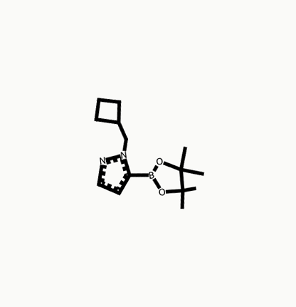 CC1(C)OB(c2ccnn2CC2CCC2)OC1(C)C